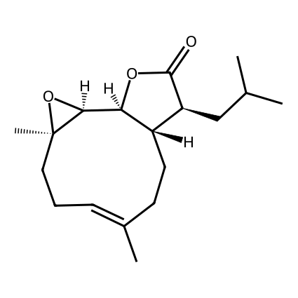 C/C1=C\CC[C@@]2(C)O[C@H]2[C@H]2OC(=O)[C@@H](CC(C)C)[C@@H]2CC1